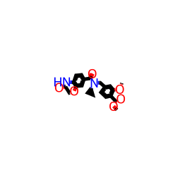 COC(=O)c1ccc(CN(C(=O)c2ccc3c(c2)OCC(=O)N3)C2CC2)cc1OC